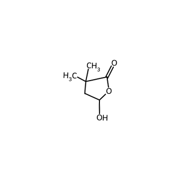 CC1(C)CC(O)OC1=O